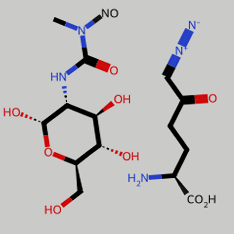 CN(N=O)C(=O)N[C@@H]1[C@@H](O)[C@H](O)[C@@H](CO)O[C@@H]1O.[N-]=[N+]=CC(=O)CC[C@H](N)C(=O)O